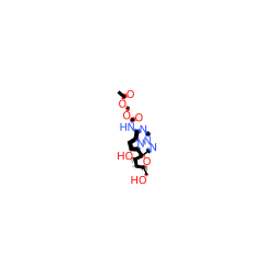 CC(=O)OCOC(=O)Nc1ncnn2c([C@]3(C#N)O[C@@H](CO)[CH][C@H]3O)ccc12